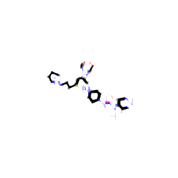 O=C(Nc1ccncc1)Nc1ccc(N2C=C(N3CCOCC3)C=C(CCCN3CCCC3)S2)cc1